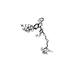 CC(CCOCCOCc1nc(-c2nn(C3CCCCO3)c3ccc(O[Si](C)(C)C(C)(C)C)cc23)cn1C)CS(=O)(=O)O